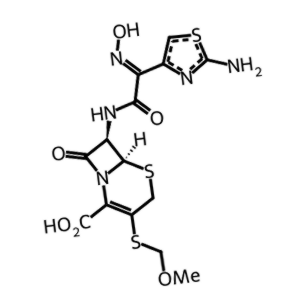 COCSC1=C(C(=O)O)N2C(=O)[C@@H](NC(=O)C(=NO)c3csc(N)n3)[C@H]2SC1